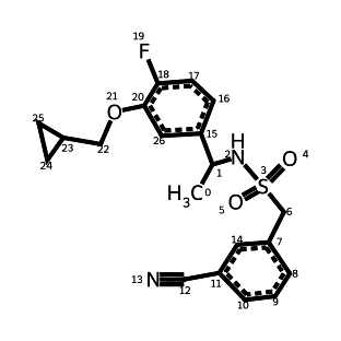 CC(NS(=O)(=O)Cc1cccc(C#N)c1)c1ccc(F)c(OCC2CC2)c1